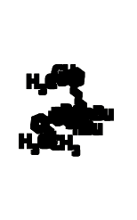 CCC[CH2][Sn]([CH2]CCC)([CH2]CCCc1ccccc1CN(C)C)[O][Sn]([CH2]CCC)([CH2]CCC)[CH2]CCCc1ccccc1CN(C)C